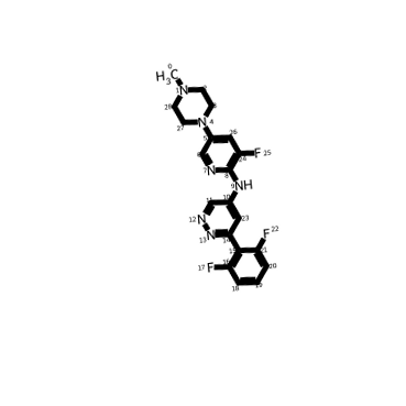 CN1CCN(c2cnc(Nc3cnnc(-c4c(F)cccc4F)c3)c(F)c2)CC1